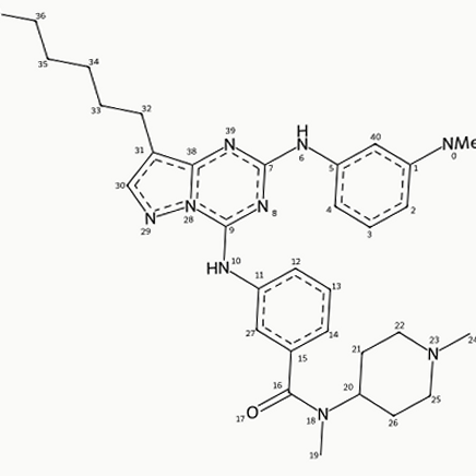 CNc1cccc(Nc2nc(Nc3cccc(C(=O)N(C)C4CCN(C)CC4)c3)n3ncc(CCCCCO)c3n2)c1